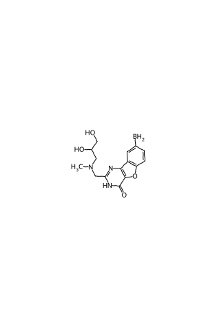 Bc1ccc2oc3c(=O)[nH]c(CN(C)CC(O)CO)nc3c2c1